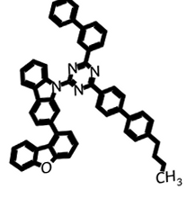 CCCCc1ccc(-c2ccc(-c3nc(-c4cccc(-c5ccccc5)c4)nc(-n4c5ccccc5c5ccc(-c6cccc7oc8ccccc8c67)cc54)n3)cc2)cc1